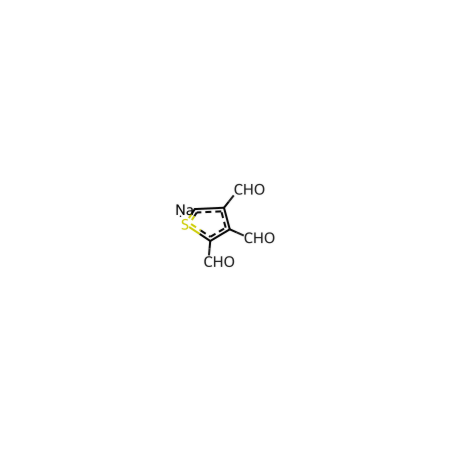 O=Cc1csc(C=O)c1C=O.[Na]